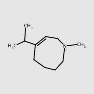 CC(C)/C1=C/CN(C)CCCC1